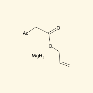 C=CCOC(=O)CC(C)=O.[MgH2]